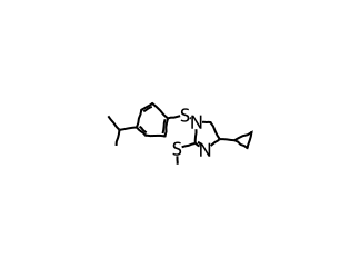 CSC1=NC(C2CC2)CN1Sc1ccc(C(C)C)cc1